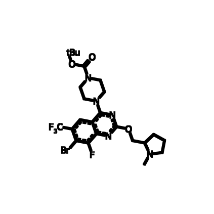 CN1CCCC1COc1nc(N2CCN(C(=O)OC(C)(C)C)CC2)c2cc(C(F)(F)F)c(Br)c(F)c2n1